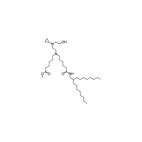 CCCCCCCCC(CCCCCCCC)CNC(=O)CCCCCN(CCCCCC(=O)OC)CCN(CCO)C1CC1